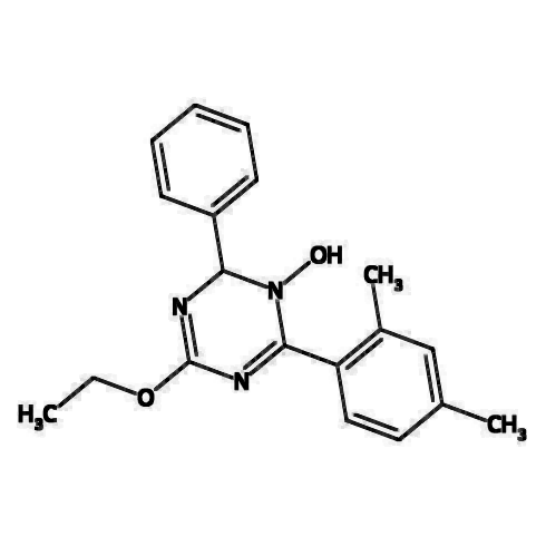 CCOC1=NC(c2ccccc2)N(O)C(c2ccc(C)cc2C)=N1